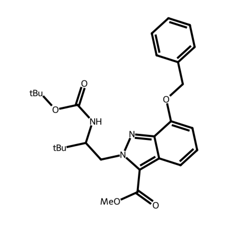 COC(=O)c1c2cccc(OCc3ccccc3)c2nn1CC(NC(=O)OC(C)(C)C)C(C)(C)C